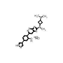 CN(C)C1CC(N(C)c2nc3nnc(-c4ccc(-c5cn[nH]c5)cc4O)cc3s2)C1.Cl.Cl